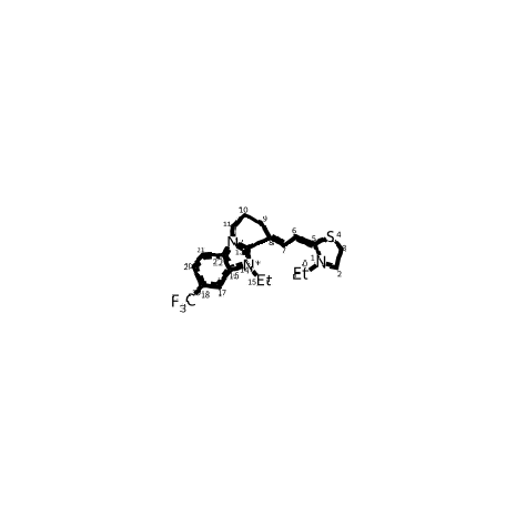 CCN1CCSC1=CC=C1CCCn2c1[n+](CC)c1cc(C(F)(F)F)ccc12